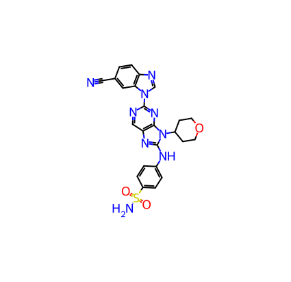 N#Cc1ccc2ncn(-c3ncc4nc(Nc5ccc(S(N)(=O)=O)cc5)n(C5CCOCC5)c4n3)c2c1